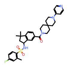 Cc1cc(F)ccc1S(=O)(=O)NC1CC(C)(C)c2ccc(C(=O)N3CCC4(CC3)CCN(c3ccncc3)CC4)cc21